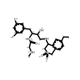 CCc1ccc2c(c1)C(NCC(O)C(Cc1cc(F)cc(F)c1)NC(=O)CNC)CS(=O)(=O)C2